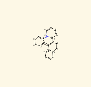 C1=CB2c3ccc4ccccc4c3-c3ccccc3N2C=C1